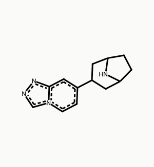 c1cn2cnnc2cc1C1CC2CCC(C1)N2